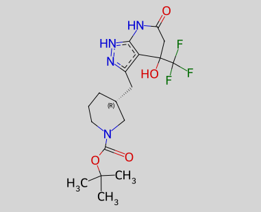 CC(C)(C)OC(=O)N1CCC[C@H](Cc2n[nH]c3c2C(O)(C(F)(F)F)CC(=O)N3)C1